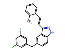 Fc1cc(F)cc(Cc2ccc3[nH]nc(/C=C/c4ccccc4C(F)(F)F)c3c2)c1